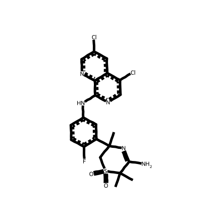 CC1(c2cc(Nc3ncc(Cl)c4cc(Cl)cnc34)ccc2F)CS(=O)(=O)C(C)(C)C(N)=N1